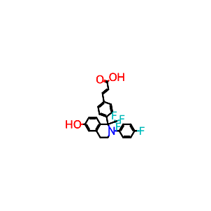 O=C(O)C=Cc1ccc(C2(C(F)(F)F)c3ccc(O)cc3CCN2c2ccc(F)cc2)cc1